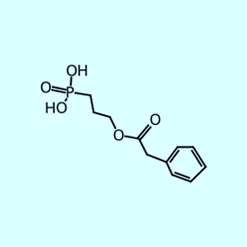 O=C(Cc1ccccc1)OCCCP(=O)(O)O